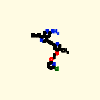 CNc1ncc(C#Cc2cc(OCCOc3cccc(Cl)n3)c(C)cn2)c2cc(N)ncc12